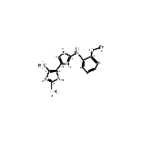 CCOc1ccccc1Nc1nc(-c2sc(C)nc2C)cs1